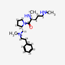 CNCCC[C@H](NC)C(=O)N1CCC[C@H]1CN(C)CCc1ccccc1